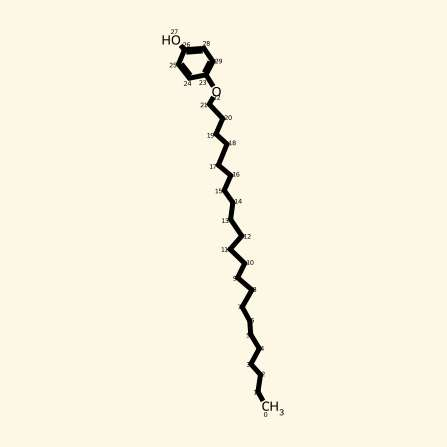 CCCCCCCCCCCCCCCCCCCCCCOc1ccc(O)cc1